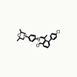 C/C(=C/N(C)c1ccc(N2CC(C)OC(C)C2)cc1)c1c(C=O)cccc1-c1ccc(Cl)cc1